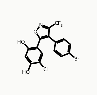 Oc1cc(O)c(-c2onc(C(F)(F)F)c2-c2ccc(Br)cc2)cc1Cl